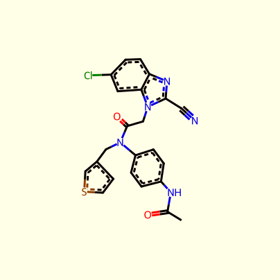 CC(=O)Nc1ccc(N(Cc2ccsc2)C(=O)Cn2c(C#N)nc3ccc(Cl)cc32)cc1